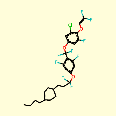 CCCCC1CCC(CCC(F)(F)Oc2cc(F)c(C(F)(F)Oc3cc(F)c(OC=C(F)F)c(Cl)c3)c(F)c2)CC1